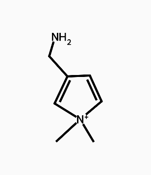 C[N+]1(C)C=CC(CN)=C1